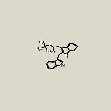 CC(C)(C)OC(=O)Cc1c(Cc2c[nH]c3ccccc23)[nH]c2ccccc12